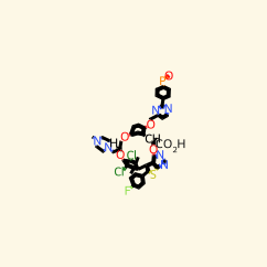 Cc1c(Cl)c2c(Cl)c(C)c1-c1c(-c3ccc(F)cc3)sc3ncnc(c13)O[C@@H](C(=O)O)Cc1cc(ccc1OCc1ccnc(-c3ccc(P=O)cc3)n1)OC[C@@H](CN1CCN(C)CC1)O2